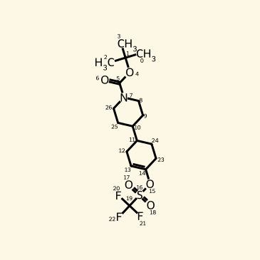 CC(C)(C)OC(=O)N1CCC(C2CC=C(OS(=O)(=O)C(F)(F)F)CC2)CC1